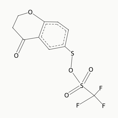 O=C1CCOc2ccc(SOS(=O)(=O)C(F)(F)F)cc21